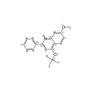 COc1ccc2c(OC(C)(C)C)cc(-c3ccccc3)nc2c1